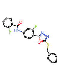 O=C(Nc1ccc(-c2nnc(SCc3ccccc3)o2)c(F)c1)c1ccccc1F